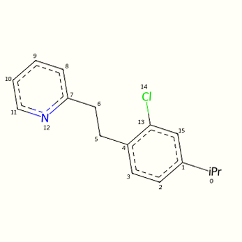 CC(C)c1ccc(CCc2ccccn2)c(Cl)c1